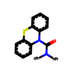 CCCN(CCC)C(=O)N1c2ccccc2Sc2ccccc21